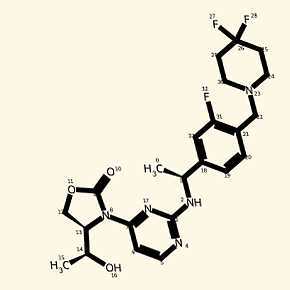 C[C@H](Nc1nccc(N2C(=O)OC[C@@H]2[C@H](C)O)n1)c1ccc(CN2CCC(F)(F)CC2)c(F)c1